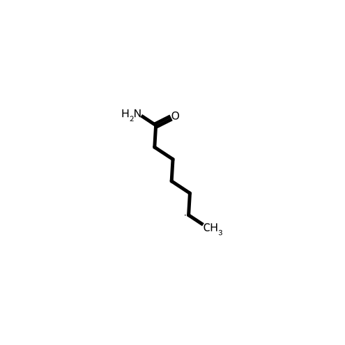 C[CH]CCCCC(N)=O